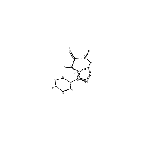 CC1C(=O)N(C)Cc2cnc(C3CCSCC3)n21